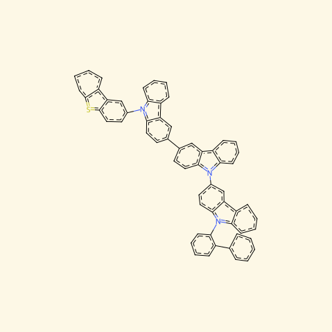 c1ccc(-c2ccccc2-n2c3ccccc3c3cc(-n4c5ccccc5c5cc(-c6ccc7c(c6)c6ccccc6n7-c6ccc7sc8ccccc8c7c6)ccc54)ccc32)cc1